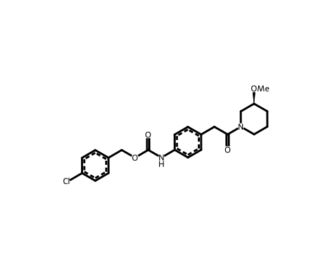 CO[C@H]1CCCN(C(=O)Cc2ccc(NC(=O)OCc3ccc(Cl)cc3)cc2)C1